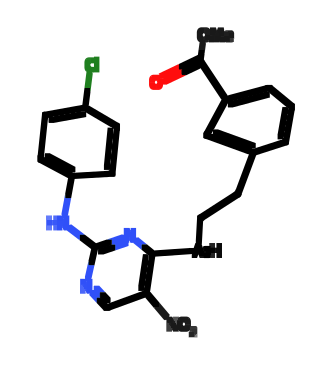 COC(=O)c1cccc(CC[AsH]c2nc(Nc3ccc(Cl)cc3)ncc2[N+](=O)[O-])c1